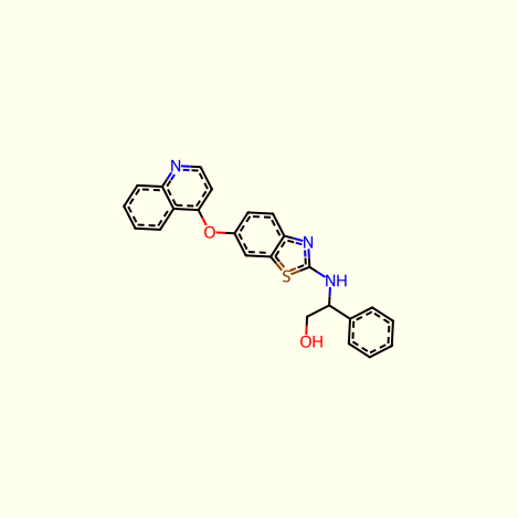 OCC(Nc1nc2ccc(Oc3ccnc4ccccc34)cc2s1)c1ccccc1